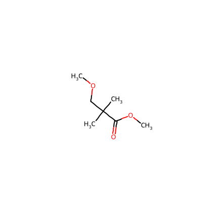 COCC(C)(C)C(=O)OC